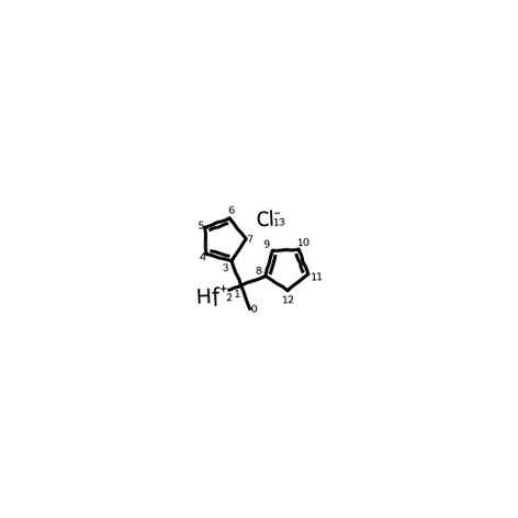 C[C]([Hf+])(C1=CC=CC1)C1=CC=CC1.[Cl-]